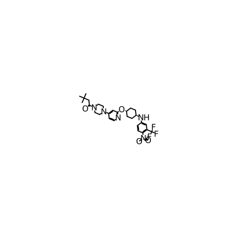 CC(C)(C)CC(=O)N1CCN(c2ccnc(O[C@H]3CC[C@H](Nc4ccc([N+](=O)[O-])c(C(F)(F)F)c4)CC3)c2)CC1